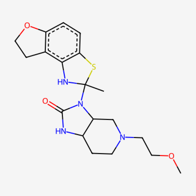 COCCN1CCC2NC(=O)N(C3(C)Nc4c(ccc5c4CCO5)S3)C2C1